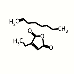 C=CCCCCCC.CCC1=CC(=O)OC1=O